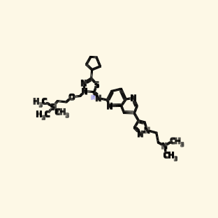 CN(C)CCn1cc(-c2cnc3ccc(/N=c4\sc(C5CCCC5)nn4COCC[Si](C)(C)C)nc3c2)cn1